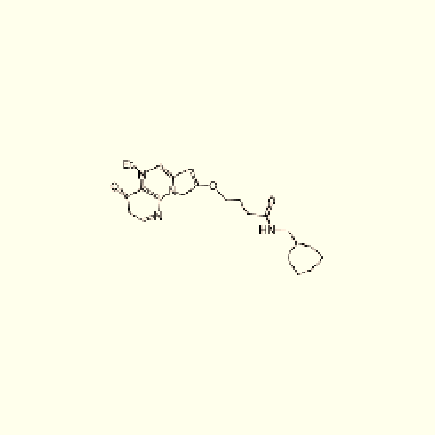 CCN1C=C2C=C(OCCCC(=O)NCC3CCCCC3)CN2C2=C1C(=O)CC=N2